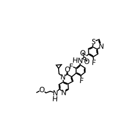 COCCNc1cc2c(cn1)cc(-c1c(F)ccc(NS(=O)(=O)c3cc4scnc4cc3F)c1F)c(=O)n2CC1CC1